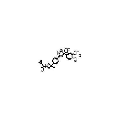 O=C(C1CC1)N1CC(F)(c2ccc(C3=NOC(c4ccc(Cl)c(C(F)(F)F)c4)(C(F)(F)F)C3)cc2)C1